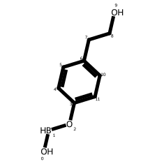 OBOc1ccc(CCO)cc1